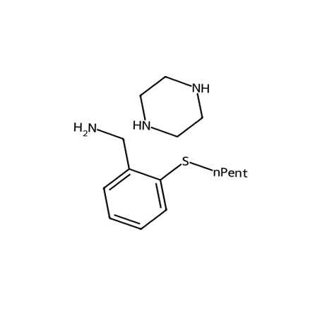 C1CNCCN1.CCCCCSc1ccccc1CN